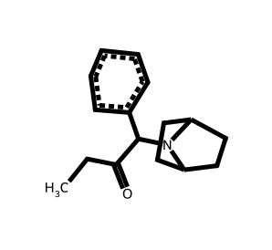 CCC(=O)C(c1ccccc1)N1C2CCC1CC2